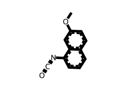 COc1ccc2cccc(N=C=O)c2c1